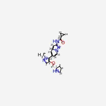 Cn1ncc(OC[C@@H]2CCCN2)c1-c1ccn2nc(NC(=O)C3CC3)cc2c1